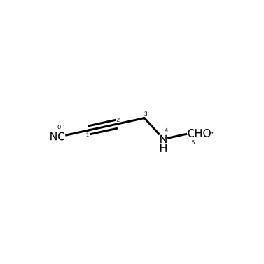 N#CC#CCN[C]=O